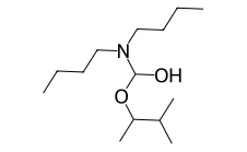 CCCCN(CCCC)C(O)OC(C)C(C)C